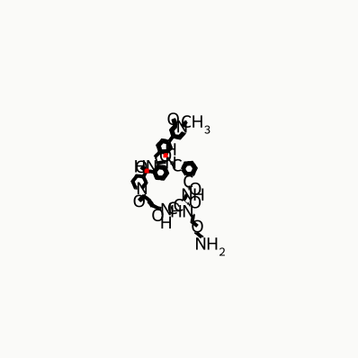 Cn1ccc(-c2ccc(C[C@@H]3NC(=O)[C@]4(Cc5ccccc5)CCCN(C4)C(=O)/C=C/C(=O)NCC[C@@H](C(=O)NCCOCCN)NC(=O)Cc4ccccc4CNC3=O)cc2)cc1=O